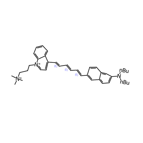 CCCCN(CCCC)c1ccc2cc(/C=C/C=C/C=C/c3cc[n+](CCC[N+](C)(C)C)c4ccccc34)ccc2c1